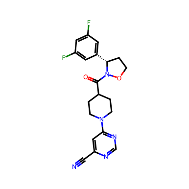 N#Cc1cc(N2CCC(C(=O)N3OCC[C@H]3c3cc(F)cc(F)c3)CC2)ncn1